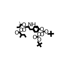 CCC(C)C(=O)OC(C)[C@H](C)OC(=O)[C@@H](N)Cc1ccc(OC(=O)OCC(C)(C)C)c(OC(=O)OCC(C)(C)C)c1